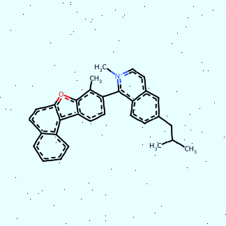 Cc1c(-c2c3ccc(CC(C)C)cc3cc[n+]2C)ccc2c1oc1ccc3ccccc3c12